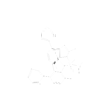 CCC1=Cc2c(-c3ccccn3)ccc(C)c2[CH]1[Zr]([Cl])([Cl])([CH]1C(CC)=Cc2c(-c3ccccn3)ccc(C)c21)[SiH](C)C